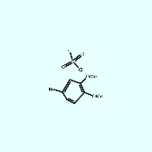 COc1ccc(Br)cc1OC.O=S(=O)(Cl)Cl